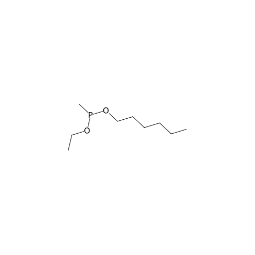 CCCCCCOP(C)OCC